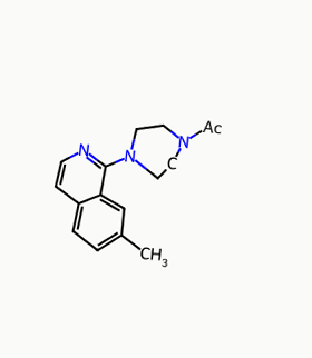 CC(=O)N1CCN(c2nccc3ccc(C)cc23)CC1